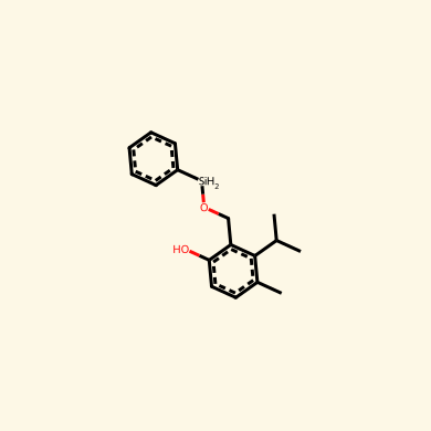 Cc1ccc(O)c(CO[SiH2]c2ccccc2)c1C(C)C